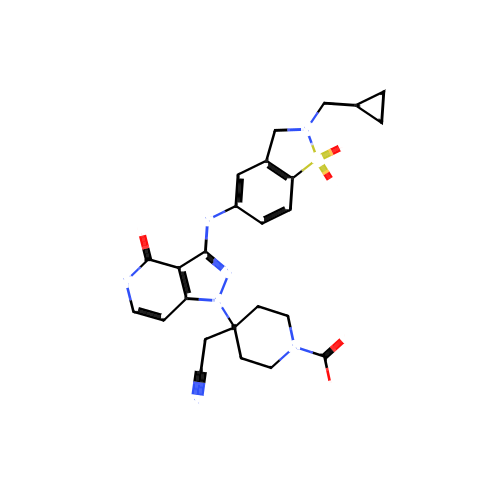 N#CCC1(n2nc(Nc3ccc4c(c3)CN(CC3CC3)S4(=O)=O)c3c(=O)[nH]ccc32)CCN(C(=O)O)CC1